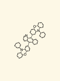 c1ccc(N2c3ccccc3Oc3ccc(-c4c5ccccc5c(-c5ccc6c(c5)N(c5ccccc5)c5ccccc5O6)c5ncccc45)cc32)cc1